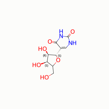 O=c1[nH]cc([C@@H]2OC(CO)[C@@H](O)[C@H]2O)c(=O)[nH]1